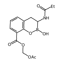 CCC(=O)NC1Cc2cccc(C(=O)OCOC(C)=O)c2OB1O